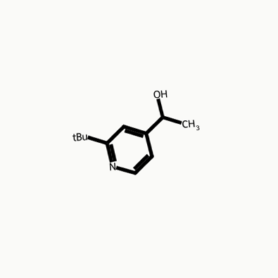 CC(O)c1ccnc(C(C)(C)C)c1